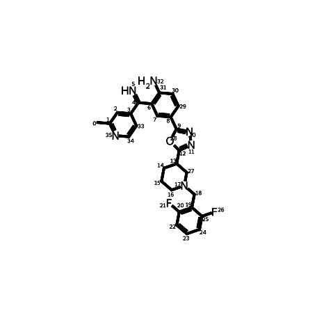 Cc1cc(C(=N)c2cc(-c3nnc(C4CCCN(Cc5c(F)cccc5F)C4)o3)ccc2N)ccn1